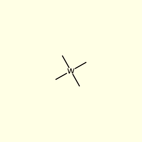 [CH3][W]([CH3])([CH3])[CH3]